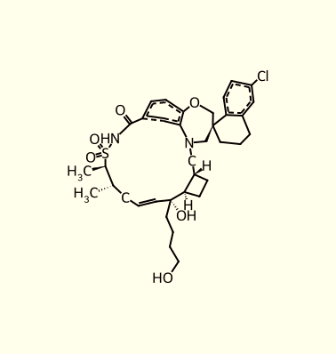 C[C@@H]1[C@@H](C)C/C=C/[C@](O)(CCCCO)[C@@H]2CC[C@H]2CN2C[C@@]3(CCCc4cc(Cl)ccc43)COc3ccc(cc32)C(=O)NS1(=O)=O